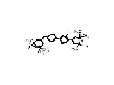 CC1(C)CC(CC2CC=C(c3ccc(C4CC(C)(C)NC(C)(C)C4)c(F)c3)CC2)CC(C)(C)N1